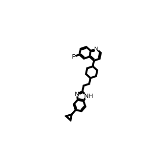 Fc1ccc2nccc(C3CCC(CCc4nc5cc(C6CC6)ccc5[nH]4)CC3)c2c1